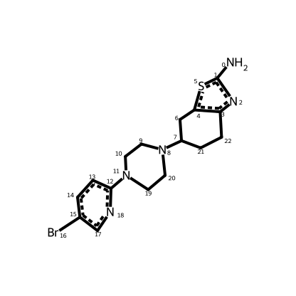 Nc1nc2c(s1)CC(N1CCN(c3ccc(Br)cn3)CC1)CC2